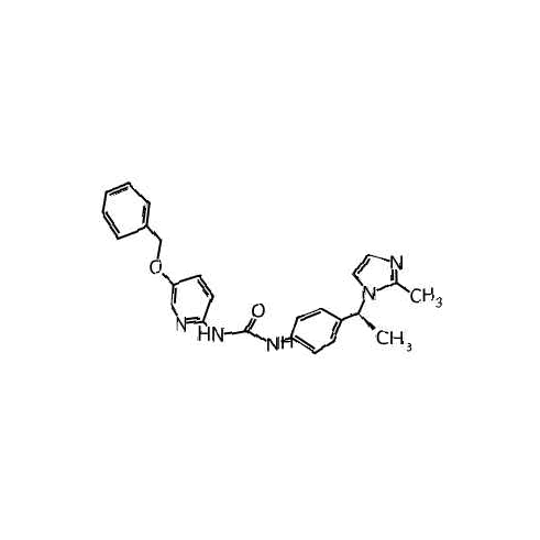 Cc1nccn1[C@@H](C)c1ccc(NC(=O)Nc2ccc(OCc3ccccc3)cn2)cc1